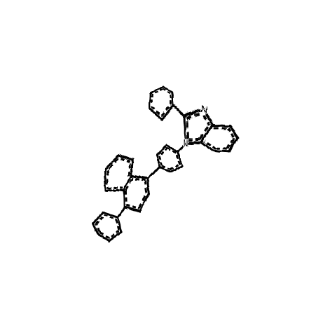 c1ccc(-c2ccc(-c3ccc(-n4c(-c5ccccc5)nc5ccccc54)cc3)c3ccccc23)cc1